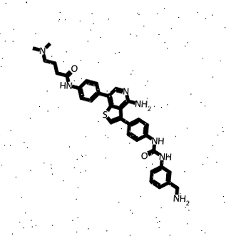 CN(C)CCCC(=O)Nc1ccc(-c2cnc(N)c3c(-c4ccc(NC(=O)Nc5cccc(CN)c5)cc4)csc23)cc1